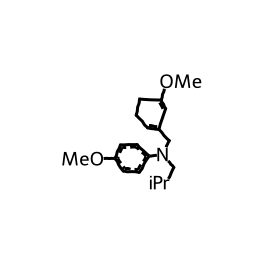 COC1=CC(CN(CC(C)C)c2ccc(OC)cc2)=CCC1